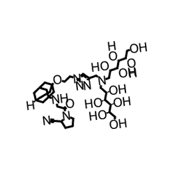 N#CC1CCCN1C(=O)CNC12CC3C[C@@H](C1)CC(OCCn1cc(CN(C[C@H](O)[C@@H](O)[C@H](O)[C@H](O)CO)C[C@H](O)[C@@H](O)[C@H](O)[C@H](O)CO)nn1)(C3)C2